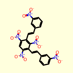 O=[N+]([O-])c1cccc(C=Cc2c([N+](=O)[O-])cc([N+](=O)[O-])c(C=Cc3cccc([N+](=O)[O-])c3)c2[N+](=O)[O-])c1